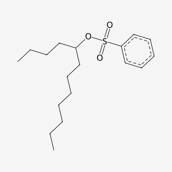 CCCCCCCC(CCCC)OS(=O)(=O)c1ccccc1